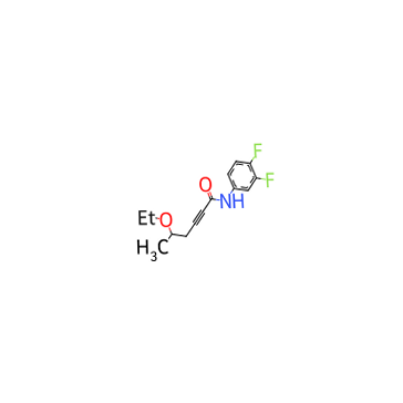 CCOC(C)CC#CC(=O)Nc1ccc(F)c(F)c1